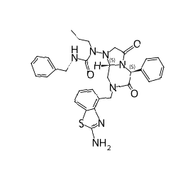 CCCN(C(=O)NCc1ccccc1)N1CC(=O)N2[C@@H](c3ccccc3)C(=O)N(Cc3cccc4sc(N)nc34)C[C@@H]21